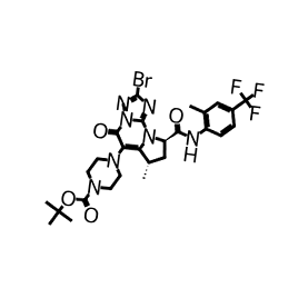 Cc1cc(C(F)(F)F)ccc1NC(=O)[C@H]1C[C@H](C)c2c(N3CCN(C(=O)OC(C)(C)C)CC3)c(=O)n3nc(Br)nc3n21